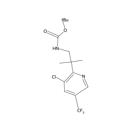 CC(C)(C)OC(=O)NCC(C)(C)c1ncc(C(F)(F)F)cc1Cl